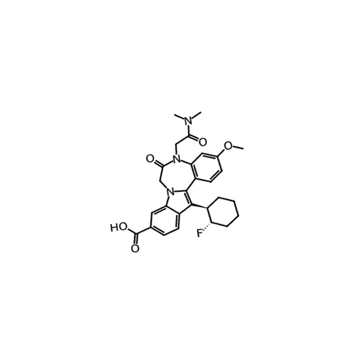 COc1ccc2c(c1)N(CC(=O)N(C)C)C(=O)Cn1c-2c([C@H]2CCCC[C@@H]2F)c2ccc(C(=O)O)cc21